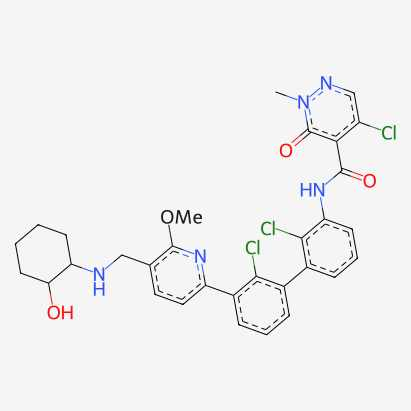 COc1nc(-c2cccc(-c3cccc(NC(=O)c4c(Cl)cnn(C)c4=O)c3Cl)c2Cl)ccc1CNC1CCCCC1O